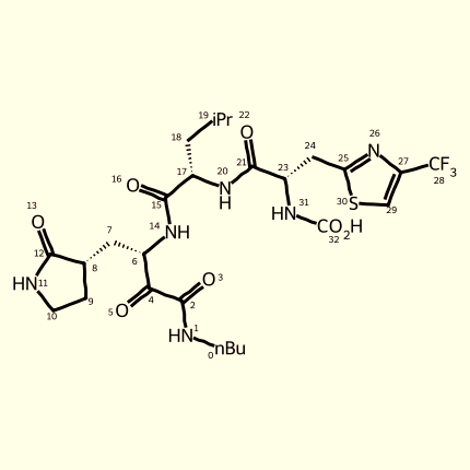 CCCCNC(=O)C(=O)[C@H](C[C@@H]1CCNC1=O)NC(=O)[C@H](CC(C)C)NC(=O)[C@H](Cc1nc(C(F)(F)F)cs1)NC(=O)O